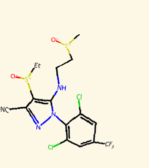 CC[S+]([O-])c1c(C#N)nn(-c2c(Cl)cc(C(F)(F)F)cc2Cl)c1NCC[S+](C)[O-]